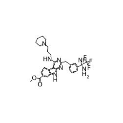 COC(=O)c1ccc2c(c1)[nH]c1nc(Cc3cccc(C(N)(N)C(F)(F)F)c3)nc(NCCCN3CCCCC3)c12